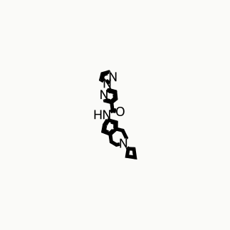 O=C(Nc1ccc2c(c1)CCN(C1CCC1)CC2)c1ccc(-n2cccn2)nc1